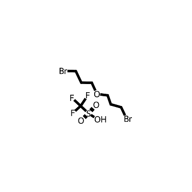 BrCCCOCCCBr.O=S(=O)(O)C(F)(F)F